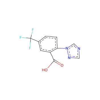 O=C(O)c1cc(C(F)(F)F)ccc1-n1cncn1